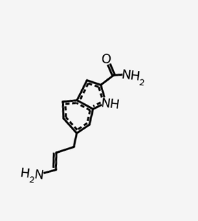 NC=CCc1ccc2cc(C(N)=O)[nH]c2c1